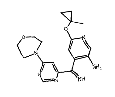 CC1(Oc2cc(C(=N)c3cc(N4CCOCC4)ncn3)c(N)cn2)CC1